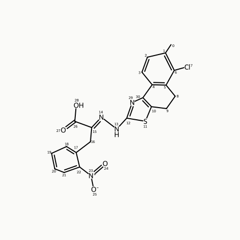 Cc1ccc2c(c1Cl)CCc1sc(N/N=C(\Cc3ccccc3[N+](=O)[O-])C(=O)O)nc1-2